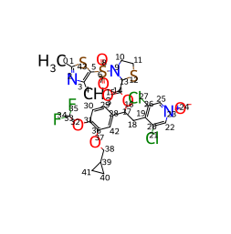 Cc1nc(C)c(S(=O)(=O)N2CCSC2C(=O)OC(Cc2c(Cl)c[n+]([O-])cc2Cl)c2ccc(OC(F)F)c(OCC3CC3)c2)s1